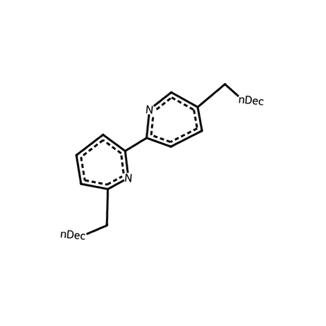 CCCCCCCCCCCc1ccc(-c2cccc(CCCCCCCCCCC)n2)nc1